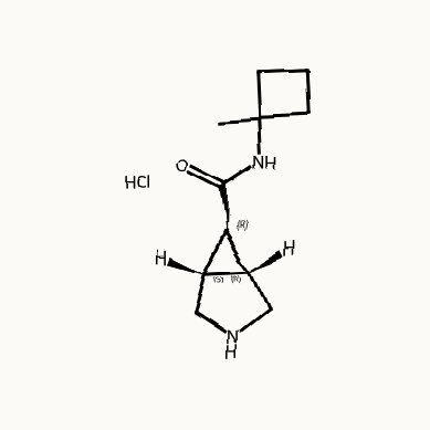 CC1(NC(=O)[C@H]2[C@@H]3CNC[C@@H]32)CCC1.Cl